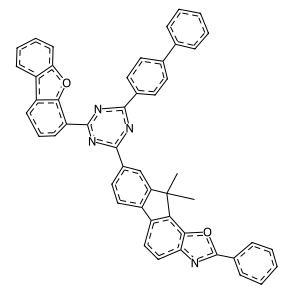 CC1(C)c2cc(-c3nc(-c4ccc(-c5ccccc5)cc4)nc(-c4cccc5c4oc4ccccc45)n3)ccc2-c2ccc3nc(-c4ccccc4)oc3c21